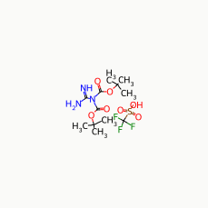 CC(C)(C)OC(=O)N(C(=N)N)C(=O)OC(C)(C)C.O=S(=O)(O)C(F)(F)F